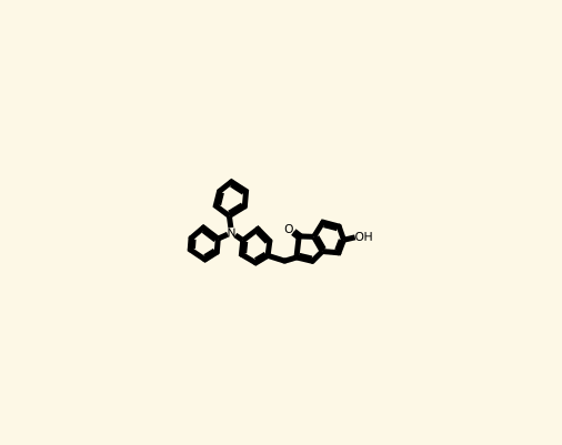 O=C1C(Cc2ccc(N(c3ccccc3)c3ccccc3)cc2)=Cc2cc(O)ccc21